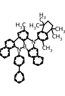 Cc1cc2c3c(c1)N(c1cc4c(cc1C)C(C)(C)CCC4(C)C)c1cc4ccccc4cc1B3N(c1ccc(-c3ccccc3)cc1)c1c-2ccc2ccccc12